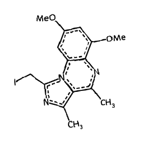 COc1cc(OC)c2nc(C)c3c(C)nc(CI)n3c2c1